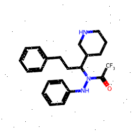 O=C(N(Nc1ccccc1)C(CCc1ccccc1)C1CCCNC1)C(F)(F)F